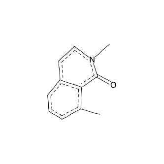 Cc1cccc2ccn(C)c(=O)c12